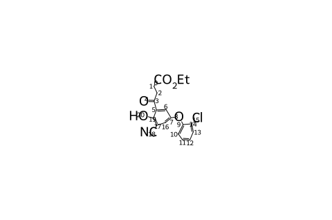 CCOC(=O)CCC(=O)c1cc(Oc2ccccc2Cl)cc(C#N)c1O